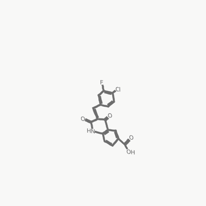 O=C1Nc2ccc(C(=O)O)cc2C(=O)/C1=C\c1ccc(Cl)c(F)c1